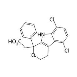 O=C(O)CC1(c2ccccc2)OCCc2c1[nH]c1c(Cl)ccc(Cl)c21